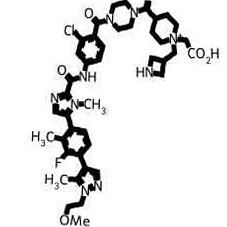 COCCn1ncc(-c2ccc(-c3cnc(C(=O)Nc4ccc(C(=O)N5CCN(C(=O)C6CC[N+](CC(=O)O)(CC7CNC7)CC6)CC5)c(Cl)c4)n3C)c(C)c2F)c1C